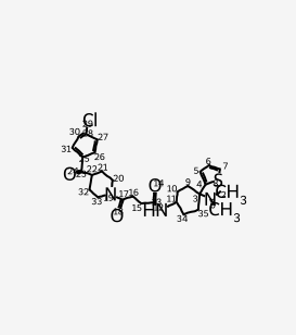 CN(C)C1(c2cccs2)CCC(NC(=O)CCC(=O)N2CCC(C(=O)c3ccc(Cl)cc3)CC2)CC1